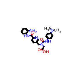 CN(C)c1ccc(NC(=O)N(CC(=O)O)Cc2ccc(C(=O)Nc3ccccc3N)nc2)cc1